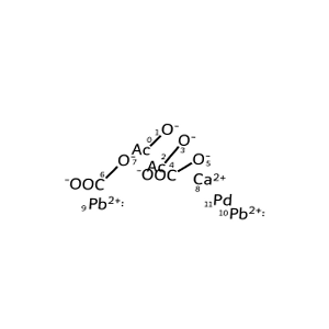 CC(=O)[O-].CC(=O)[O-].O=C([O-])[O-].O=C([O-])[O-].[Ca+2].[Pb+2].[Pb+2].[Pd]